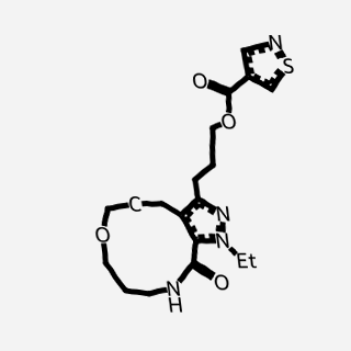 CCn1nc(CCCOC(=O)c2cnsc2)c2c1C(=O)NCCCOCCC2